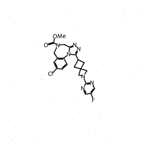 COC(=O)N1Cc2cc(Cl)ccc2-n2c(nnc2C2CC3(C2)CN(c2ncc(F)cn2)C3)C1